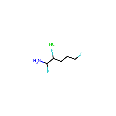 Cl.NC(F)C(F)CCCF